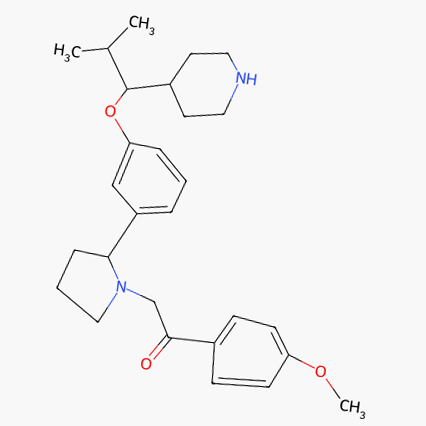 COc1ccc(C(=O)CN2CCCC2c2cccc(OC(C(C)C)C3CCNCC3)c2)cc1